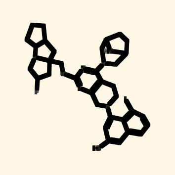 Oc1cc(N2CCc3c(nc(OCC45CC(F)CN4C4CCCC4C5)nc3N3CC4CCC(C3)N4)C2)c2c(I)cccc2c1